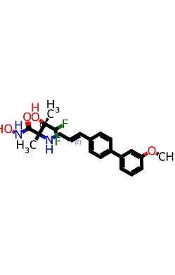 COc1cccc(-c2ccc(/C=C/CNC(C)(C(=O)NO)[C@](C)(O)C(F)F)cc2)c1